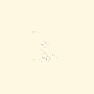 CNc1cc(Nc2cccn([C@H]3C[C@H](OC)C3)c2=O)nc2c(C(=O)N[C@@H]3CCC3(F)F)cnn12